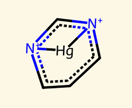 c1c[n+]2c[n+](c1)[Hg]2